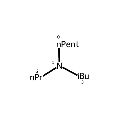 CCCCCN(CCC)C(C)CC